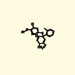 Cc1ccccc1C1(Sc2cnc(OC(C)C)c(Cl)c2)C=C(F)C(C(=O)O)C=C1Cl